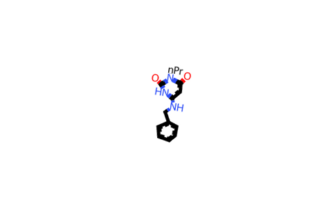 CCCn1c(=O)cc(NCc2ccccc2)[nH]c1=O